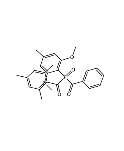 COc1cc(C)cc(OC)c1P(=O)(C(=O)c1ccccc1)C(=O)c1c(C)cc(C)cc1C